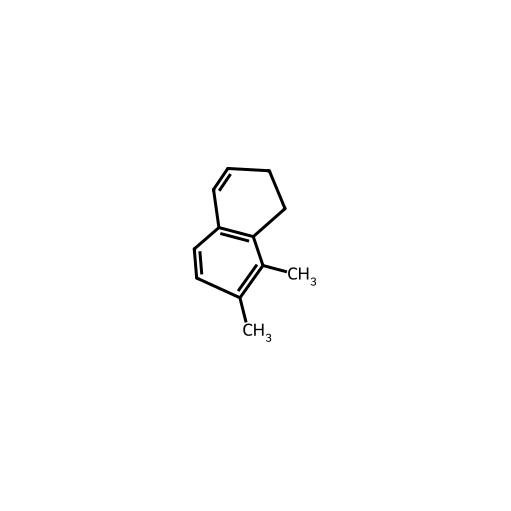 Cc1ccc2c(c1C)CCC=C2